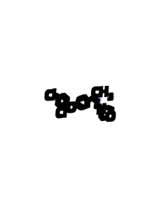 C/C(=C/CN1CCOCC1)c1ccc(Oc2ccc(Cl)cc2Cl)cc1